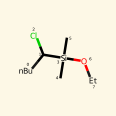 CCCCC(Cl)[Si](C)(C)OCC